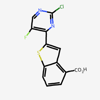 O=C(O)c1cccc2sc(-c3nc(Cl)ncc3F)cc12